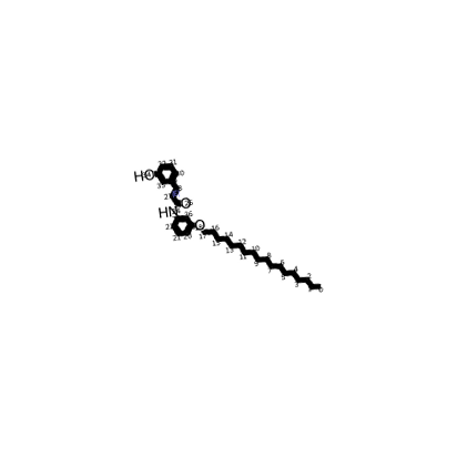 CCCCCCCCCCCCCCCCCCOc1cccc(NC(=O)/C=C/c2cccc(O)c2)c1